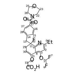 CCc1cc(OC(F)F)c2c(n1)C(F)(Cc1ccc(S(=O)(=O)N3CCOCC3)cc1)CC=C2OCC(=O)O